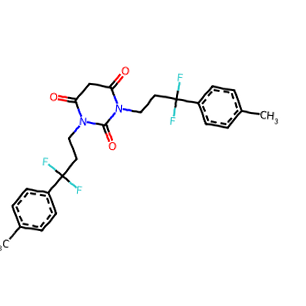 Cc1ccc(C(F)(F)CCN2C(=O)CC(=O)N(CCC(F)(F)c3ccc(C(F)(F)F)cc3)C2=O)cc1